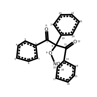 O=C(c1ccccc1)C(O[N+](=O)[O-])(C(=O)c1ccccc1)c1ccccc1